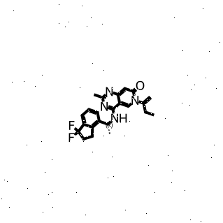 C=C(CC)n1cc2c(N[C@H](C)c3cccc4c3CCC4(F)F)nc(C)nc2cc1=O